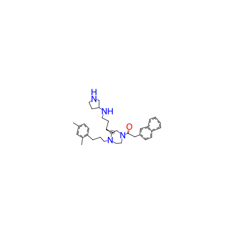 Cc1ccc(CCCN2CCN(C(=O)Cc3ccc4ccccc4c3)C[C@@H]2CCCNC2CCNC2)c(C)c1